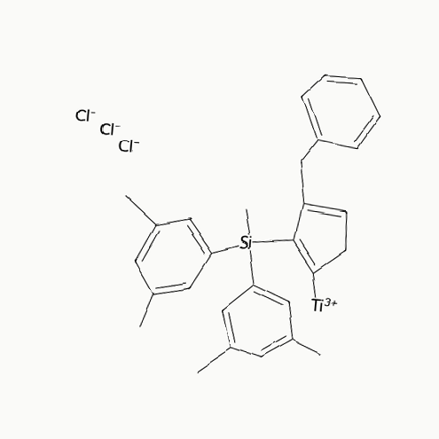 Cc1cc(C)cc([Si](C)(C2=[C]([Ti+3])CC=C2Cc2ccccc2)c2cc(C)cc(C)c2)c1.[Cl-].[Cl-].[Cl-]